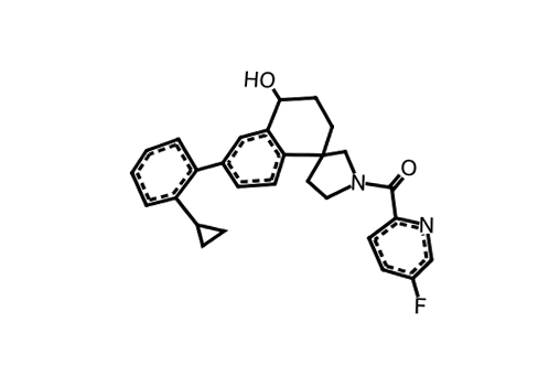 O=C(c1ccc(F)cn1)N1CCC2(CCC(O)c3cc(-c4ccccc4C4CC4)ccc32)C1